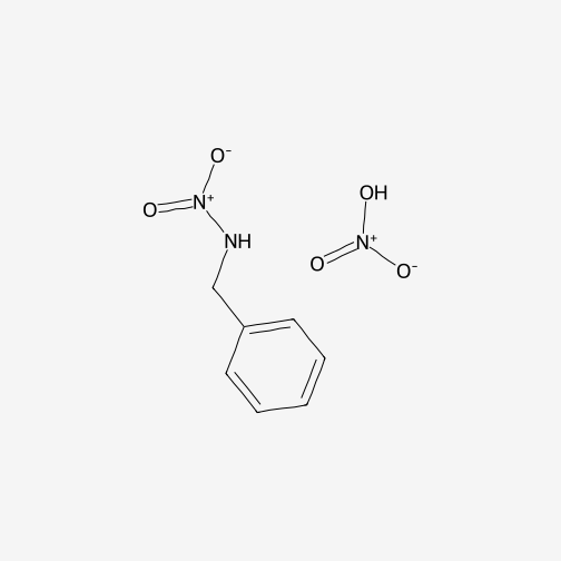 O=[N+]([O-])NCc1ccccc1.O=[N+]([O-])O